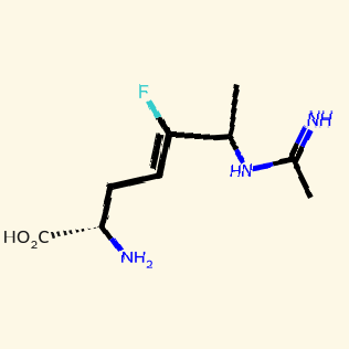 CC(=N)NC(C)/C(F)=C/C[C@H](N)C(=O)O